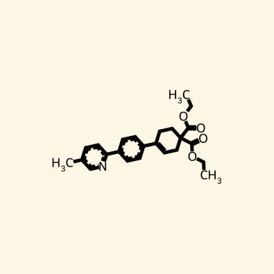 CCOC(=O)C1(C(=O)OCC)CC=C(c2ccc(-c3ccc(C)cn3)cc2)CC1